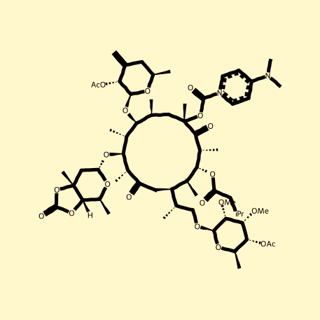 C=C1C[C@@H](C)O[C@@H](O[C@@H]2[C@@H](C)[C@H](O[C@H]3C[C@@]4(C)OC(=O)O[C@H]4[C@H](C)O3)[C@@H](C)C(=O)C[C@H]([C@@H](C)CO[C@@H]3O[C@H](C)[C@@H](OC(C)=O)[C@@H](OC)[C@H]3OC)[C@H](C)[C@@H](OC(=O)CC(C)C)[C@@H](C)C(=O)[C@@](C)(OC(=O)[n+]3ccc(N(C)C)cc3)C[C@@H]2C)[C@@H]1OC(C)=O